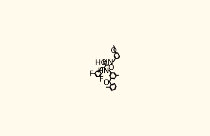 CCOc1cccc(CNC[C@H](O)[C@H](Cc2cc(F)cc(F)c2)NC(=O)c2cc(C)cc(C(=O)c3ccccc3C)c2)c1